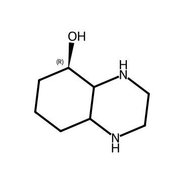 O[C@@H]1CCCC2NCCNC21